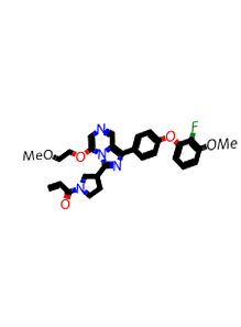 C=CC(=O)N1CCC(c2nc(-c3ccc(Oc4cccc(OC)c4F)cc3)c3cncc(OCCOC)n23)C1